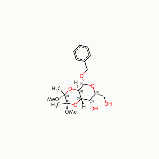 CO[C@]1(C)O[C@H]2[C@H](OCc3ccccc3)O[C@H](CO)[C@H](O)[C@@H]2O[C@@]1(C)OC